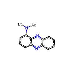 CCN(C(C)=O)c1cccc2nc3ccccc3nc12